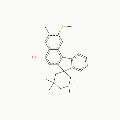 CSc1cc2c3c(cc(O)c2cc1C)C1(CC(C)(C)CC(C)(C)C1)c1ccccc1-3